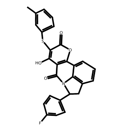 Cc1cccc(Sc2c(O)c3c(=O)n4c5c(cccc5c3oc2=O)CC4c2ccc(F)cc2)c1